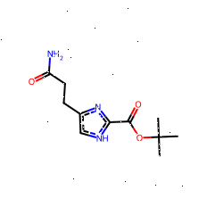 CC(C)(C)OC(=O)c1nc(CCC(N)=O)c[nH]1